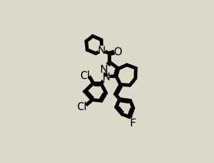 O=C(c1nn(-c2ccc(Cl)cc2Cl)c2c1CCCC/C2=C\c1ccc(F)cc1)N1CCCCC1